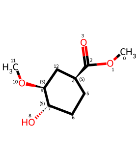 COC(=O)[C@H]1CC[C@H](O)[C@@H](OC)C1